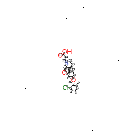 Cc1cccc(Cl)c1COc1ccc2c(c1)OCC21CCCN(CCC(=O)O)C1